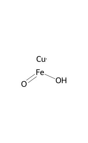 [Cu].[O]=[Fe][OH]